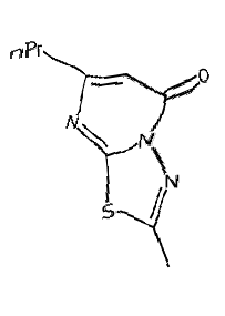 CCCc1cc(=O)n2nc(C)sc2n1